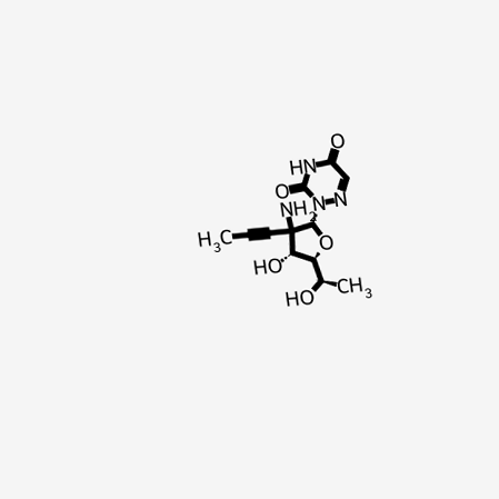 CC#CC1(N)[C@@H](O)[C@@H]([C@@H](C)O)O[C@H]1n1ncc(=O)[nH]c1=O